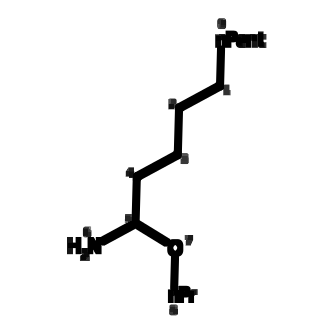 CCCCCCCCCC(N)OCCC